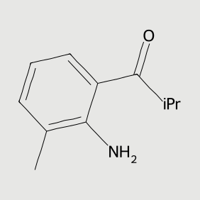 Cc1cccc(C(=O)C(C)C)c1N